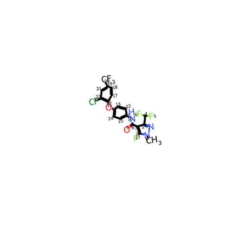 Cn1nc(C(F)F)c(C(=O)Nc2ccc(Oc3ccc(C(F)(F)F)cc3Cl)cc2)c1F